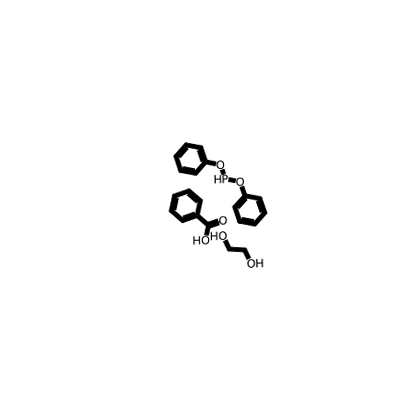 O=C(O)c1ccccc1.OCCO.c1ccc(OPOc2ccccc2)cc1